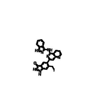 O=c1[nH][nH]c2cc(CI)c(-c3cc4ncccc4c(Nc4n[nH]c5ccccc45)n3)cc12